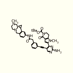 CN1CCN(Cc2ccc(NC(=O)Cc3cccc(C#Cc4cnc(N)nc4-c4cc5c(n4C)CCN(C(=O)OC(C)(C)C)C5=O)c3)cc2C2CC2)CC1